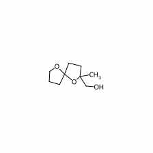 CC1(CO)CCC2(CCCO2)O1